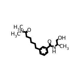 C[C@H](CO)NC(=O)c1cccc(CCCCCC(=O)N(C)C)c1